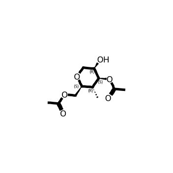 CC(=O)OC[C@H]1OC[C@@H](O)[C@@H](OC(C)=O)[C@@H]1C